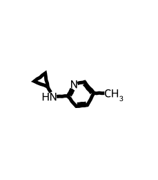 Cc1ccc(NC2CC2)nc1